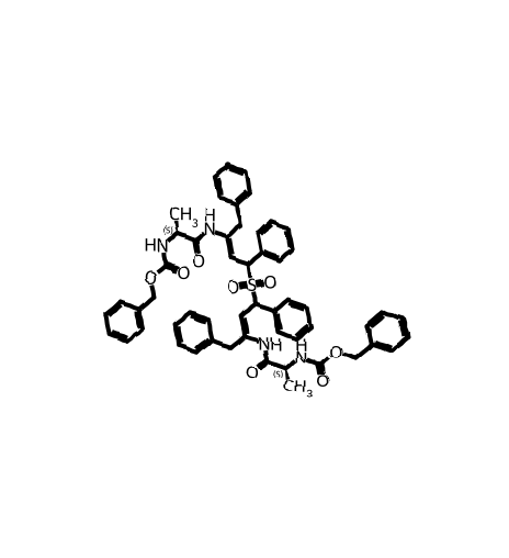 C[C@H](NC(=O)OCc1ccccc1)C(=O)NC(=CC(c1ccccc1)S(=O)(=O)C(C=C(Cc1ccccc1)NC(=O)[C@H](C)NC(=O)OCc1ccccc1)c1ccccc1)Cc1ccccc1